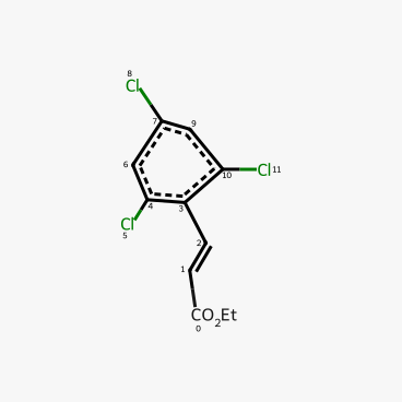 CCOC(=O)C=Cc1c(Cl)cc(Cl)cc1Cl